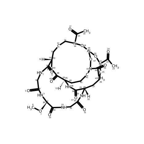 CO[C@H]1NC(=O)CNC(=O)[C@@H]2CCCN(C(C)=O)[O][Al]3[O]N(C(C)=O)CCC[C@H](NC(=O)CNC1=O)C(=O)N[C@H](CCCN(C(C)=O)[O]3)C(=O)N2